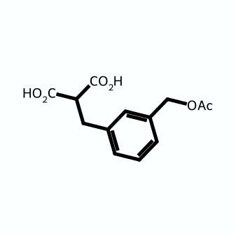 CC(=O)OCc1cccc(CC(C(=O)O)C(=O)O)c1